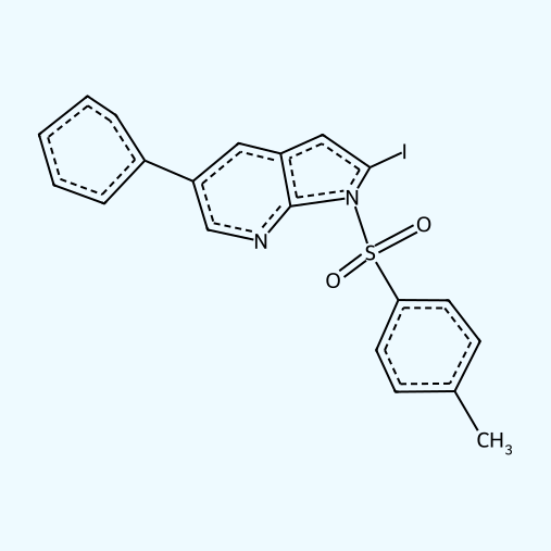 Cc1ccc(S(=O)(=O)n2c(I)cc3cc(-c4ccccc4)cnc32)cc1